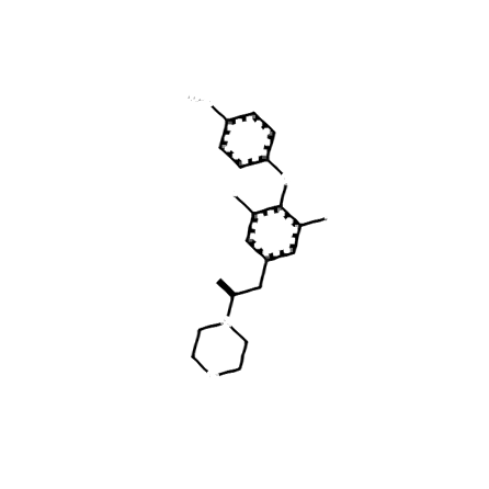 COc1ccc(Oc2c(I)cc(CC(=O)N3CCOCC3)cc2I)cc1